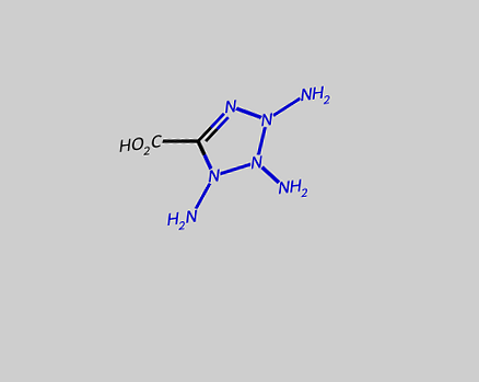 NN1N=C(C(=O)O)N(N)N1N